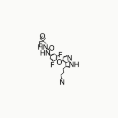 N#CCCCc1c[nH]c2nccc(Oc3c(F)cc(NC(=O)NCC4(F)COC4)cc3F)c12